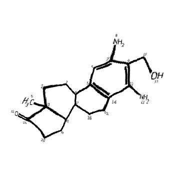 CC12CCC3c4cc(N)c(CO)c(N)c4CCC3C1CCC2=O